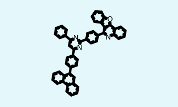 c1ccc(-c2cc(-c3ccc(-c4cc5ccccc5c5ccccc45)cc3)nc(-c3ccc(-c4nc5ccccc5c5oc6ccccc6c45)cc3)n2)cc1